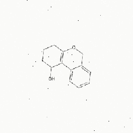 OC1CCCC2=C1c1ccccc1CO2